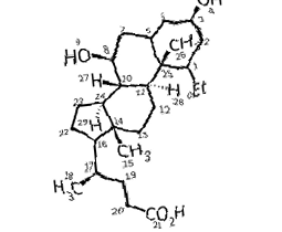 CCC1C[C@H](O)CC2C[C@H](O)[C@@H]3[C@H](CC[C@]4(C)[C@@H]([C@H](C)CCC(=O)O)CC[C@@H]34)[C@@]12C